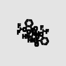 N=C(NS(=O)(=O)c1ccccc1OC(F)F)NS(=O)(=O)c1ccccc1OC(F)F